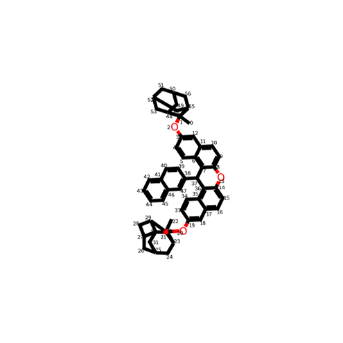 CC1(Oc2ccc3c4c(ccc3c2)Oc2ccc3cc(OC5(C)C6CC7CC8CC5C8(C7)C6)ccc3c2C4c2ccc3ccccc3c2)C2CC3CC(C2)CC1C3